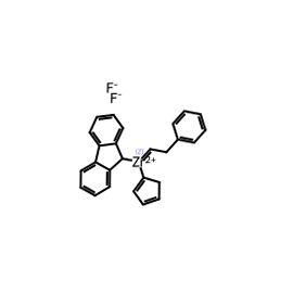 C1=CC[C](/[Zr+2](=[CH]\Cc2ccccc2)[CH]2c3ccccc3-c3ccccc32)=C1.[F-].[F-]